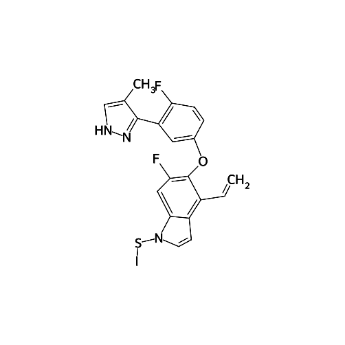 C=Cc1c(Oc2ccc(F)c(-c3n[nH]cc3C)c2)c(F)cc2c1ccn2SI